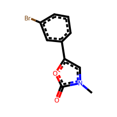 Cn1cc(-c2cccc(Br)c2)oc1=O